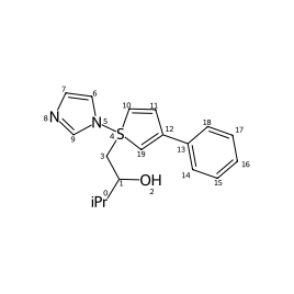 CC(C)C(O)CS1(n2ccnc2)C=CC(c2ccccc2)=C1